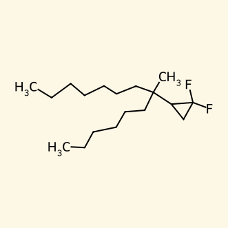 CCCCCCCC(C)(CCCCCC)C1CC1(F)F